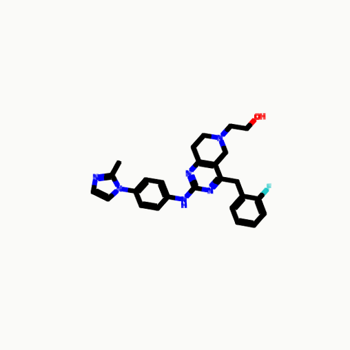 Cc1nccn1-c1ccc(Nc2nc3c(c(Cc4ccccc4F)n2)CN(CCO)CC3)cc1